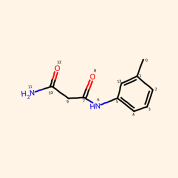 Cc1cccc(NC(=O)CC(N)=O)c1